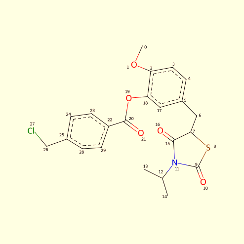 COc1ccc(CC2SC(=O)N(C(C)C)C2=O)cc1OC(=O)c1ccc(CCl)cc1